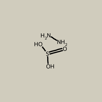 NN.O=S(O)O